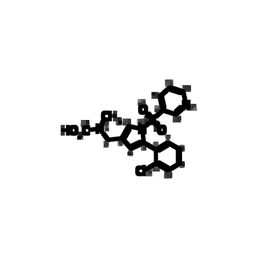 CN(Cc1cc(-c2ccccc2Cl)n(S(=O)(=O)c2cccnc2)c1)C(=O)O